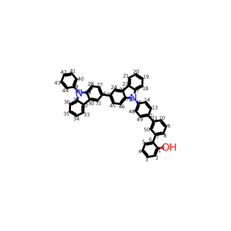 Oc1ccccc1-c1cccc(-c2ccc(-n3c4ccccc4c4cc(-c5ccc6c(c5)c5ccccc5n6-c5ccccc5)ccc43)cc2)c1